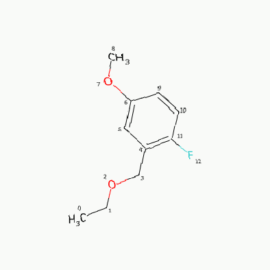 CCOCc1cc(OC)ccc1F